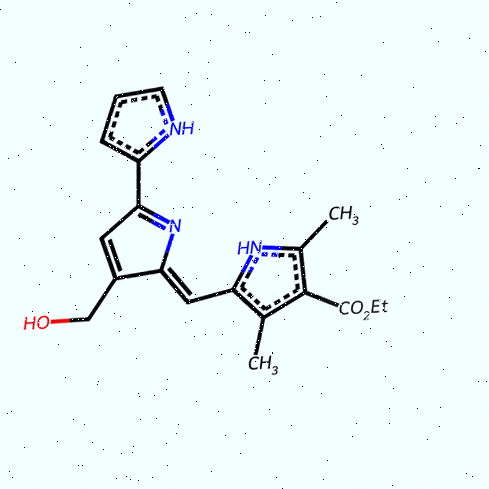 CCOC(=O)c1c(C)[nH]c(/C=C2\N=C(c3ccc[nH]3)C=C2CO)c1C